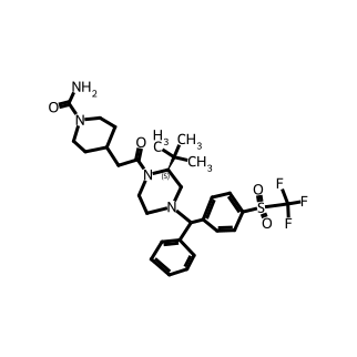 CC(C)(C)[C@H]1CN(C(c2ccccc2)c2ccc(S(=O)(=O)C(F)(F)F)cc2)CCN1C(=O)CC1CCN(C(N)=O)CC1